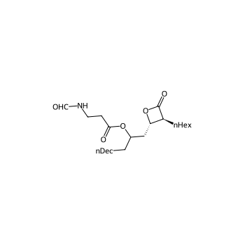 CCCCCCCCCCCC(C[C@@H]1OC(=O)[C@H]1CCCCCC)OC(=O)CCNC=O